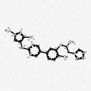 C[C@@H](Cn1cnnn1)Oc1cc(-c2cnc(Nc3cn(C)nc3C(F)(F)F)nc2)ccc1C#N